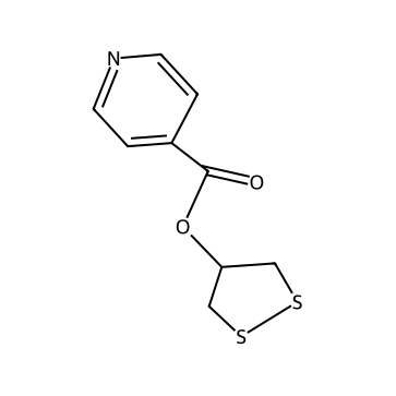 O=C(OC1CSSC1)c1ccncc1